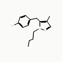 CCCCn1ncc(C)c1Cc1ccc(Br)cc1